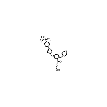 O=C(OCCO)[C@H]1CN(Cc2ccc(-c3ccc(C(O)(C(F)(F)F)C(F)(F)F)cc3)cc2)CCN1Cc1ccncc1